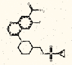 NC(=O)c1cc2ncnc(N3CCCC(CNS(=O)(=O)C4=CC4)C3)c2cc1F